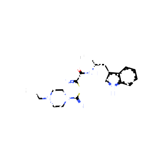 CC(Cc1c[nH]c2ccccc12)NC(=O)C(=N)SC(=N)N1CCN(CC(F)(F)F)CC1